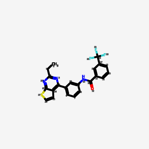 CCc1nc(-c2cccc(NC(=O)c3cccc(C(F)(F)F)c3)c2)c2ccsc2n1